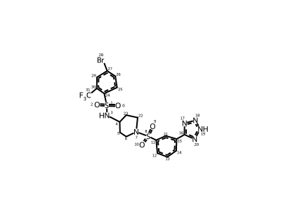 O=S(=O)(NC1CCN(S(=O)(=O)c2cccc(-c3nn[nH]n3)c2)CC1)c1ccc(Br)cc1C(F)(F)F